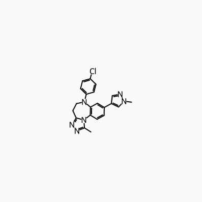 Cc1nnc2n1-c1ccc(-c3cnn(C)c3)cc1N(c1ccc(Cl)cc1)CC2